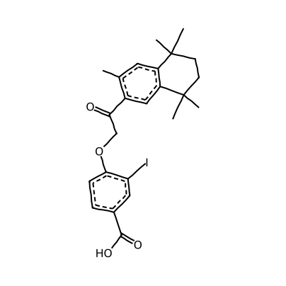 Cc1cc2c(cc1C(=O)COc1ccc(C(=O)O)cc1I)C(C)(C)CCC2(C)C